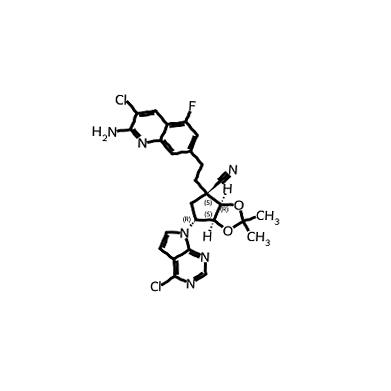 CC1(C)O[C@H]2[C@H](n3ccc4c(Cl)ncnc43)C[C@](C#N)(CCc3cc(F)c4cc(Cl)c(N)nc4c3)[C@H]2O1